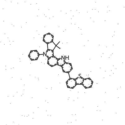 CC1(C)c2ccccc2-c2c1c1c3[nH]c4ccc(-c5cccc6c5sc5ccccc56)cc4c3ccc1n2-c1ccccc1